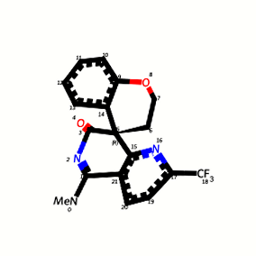 CNC1=NC(=O)[C@@]2(CCOc3ccccc32)c2nc(C(F)(F)F)ccc21